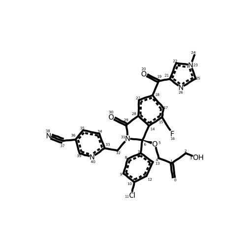 C=C(CO)CO[C@]1(c2ccc(Cl)cc2)c2c(F)cc(C(=O)c3cn(C)cn3)cc2C(=O)N1Cc1ccc(C#N)cn1